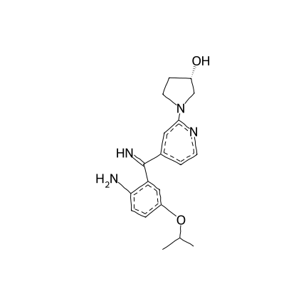 CC(C)Oc1ccc(N)c(C(=N)c2ccnc(N3CC[C@H](O)C3)c2)c1